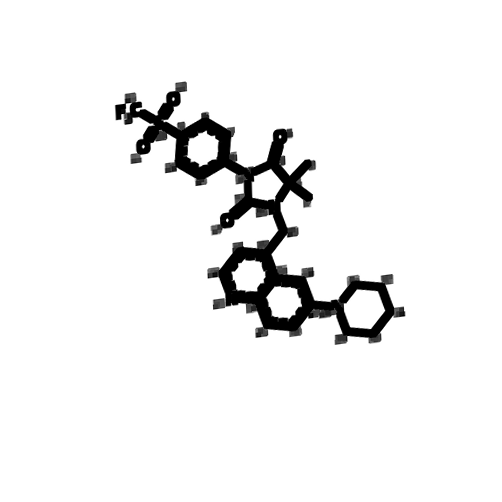 CC1(C)C(=O)N(c2ccc(S(=O)(=O)C(F)(F)F)cc2)C(=O)N1Cc1ccnc2ccc(N3CCCCC3)cc12